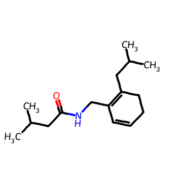 CC(C)CC(=O)NCC1=C(CC(C)C)CCC=C1